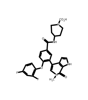 Cn1cc(-c2cc(C(=O)NC3CCN(C(=O)O)CC3)ccc2Oc2ccc(F)cc2F)c2cc[nH]c2c1=O